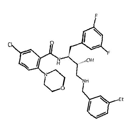 CCc1cccc(CNC[C@@H](O)[C@H](Cc2cc(F)cc(F)c2)NC(=O)c2cc(Cl)ccc2N2CCOCC2)c1